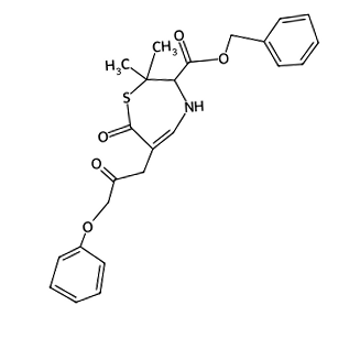 CC1(C)SC(=O)C(CC(=O)COc2ccccc2)=CNC1C(=O)OCc1ccccc1